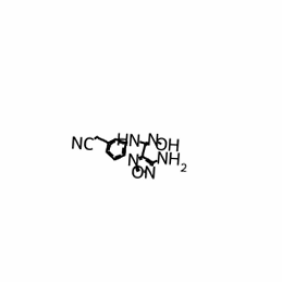 N#CCc1cccc(N/C(=N/O)c2nonc2N)c1